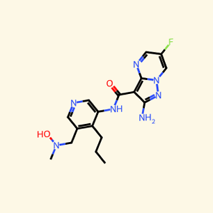 CCCc1c(CN(C)O)cncc1NC(=O)c1c(N)nn2cc(F)cnc12